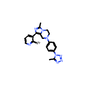 Cc1nnnn1-c1ccc(N2CCn3c(C)nc(-c4cccnc4C(C)C)c3C2)cc1